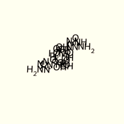 Nc1nc2c(ncn2[C@@H]2O[C@@H]3COP(=O)(O)O[C@H]4[C@@H](O)[C@H](n5cnc6c(N)ncnc65)O[C@@H]4COP(=O)(O)O[C@@H]2[C@@H]3N)c(=O)[nH]1